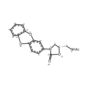 CC(=O)NC[C@H]1CN(c2ccc3c(c2)Oc2ccccc2O3)C(=O)O1